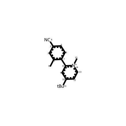 Cc1cc(C#N)ccc1-c1cc(C(C)(C)C)cc[n+]1C